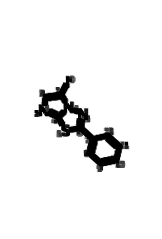 Ic1cnc2sc(-c3ccccc3)nn12